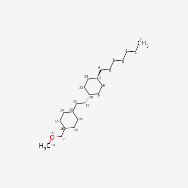 CCCCCCC[C@H]1CC[C@H](CCC2CCC(COC)CC2)CC1